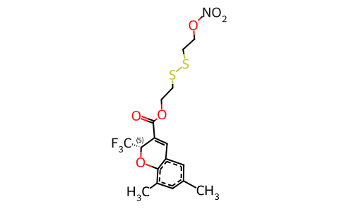 Cc1cc(C)c2c(c1)C=C(C(=O)OCCSSCCO[N+](=O)[O-])[C@@H](C(F)(F)F)O2